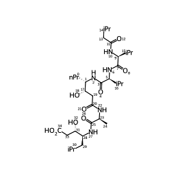 CCC[C@H](NC(=O)[C@@H](NC(=O)[C@@H](NC(=O)CC(C)C)C(C)C)C(C)C)[C@@H](O)CC(=O)N[C@@H](C)C(=O)N[C@@H](CC(C)C)[C@@H](O)CC(=O)O